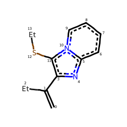 C=C(CC)c1nc2ccccn2c1SCC